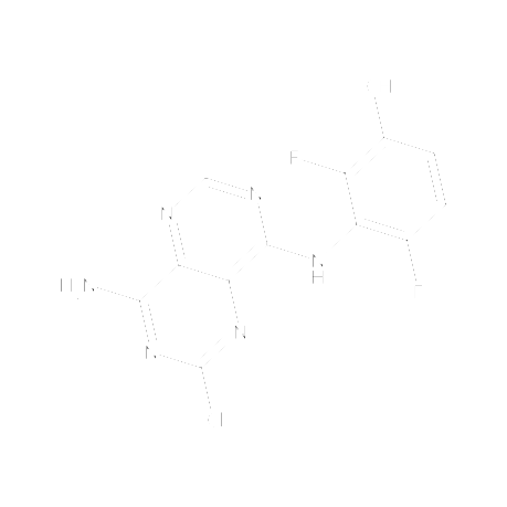 Cc1ccc(F)c(Nc2ncnc3c(N)nc(Cl)nc23)c1F